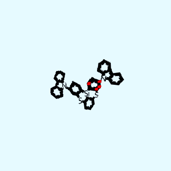 c1ccc([Si]23c4ccc(-n5c6ccccc6c6ccccc65)cc4Sc4cccc(c42)Sc2cc(-n4c5ccccc5c5ccccc54)ccc23)cc1